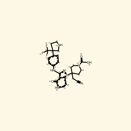 N#CCC1(n2nc(Nc3ccc(C4(C(F)(F)F)CCNC4)cc3)c3c(=O)[nH]ccc32)CCN(C(=O)O)CC1